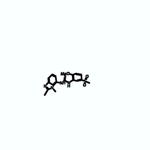 COc1ccc(S(C)(=O)=O)cc1NC(=S)Nc1cccc2nc(C)n(C)c12